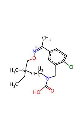 CC[Si](C)(C)CO/N=C(/C)c1ccc(Cl)c(CN(C)C(=O)O)c1